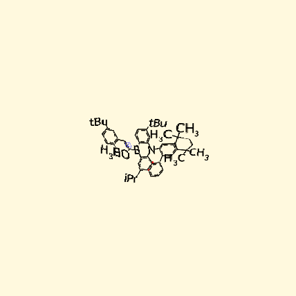 Cc1ccc(C(C)(C)C)cc1/C=C(\O)B1c2cc(C(C)C)ccc2N(c2cc3c(cc2-c2ccccc2)C(C)(C)CCC3(C)C)c2cc(C(C)(C)C)ccc21